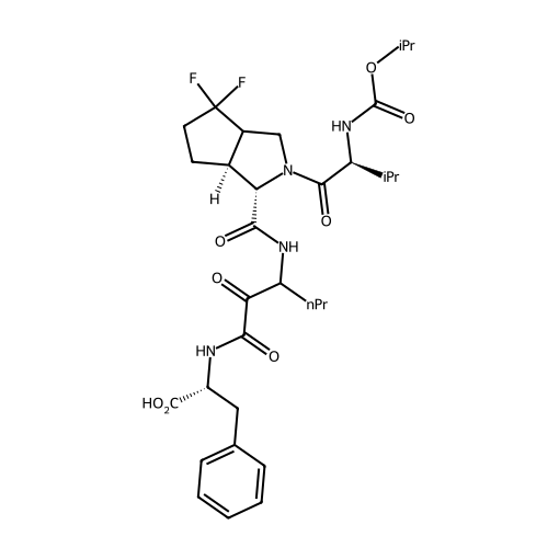 CCCC(NC(=O)[C@@H]1[C@H]2CCC(F)(F)C2CN1C(=O)[C@@H](NC(=O)OC(C)C)C(C)C)C(=O)C(=O)N[C@H](Cc1ccccc1)C(=O)O